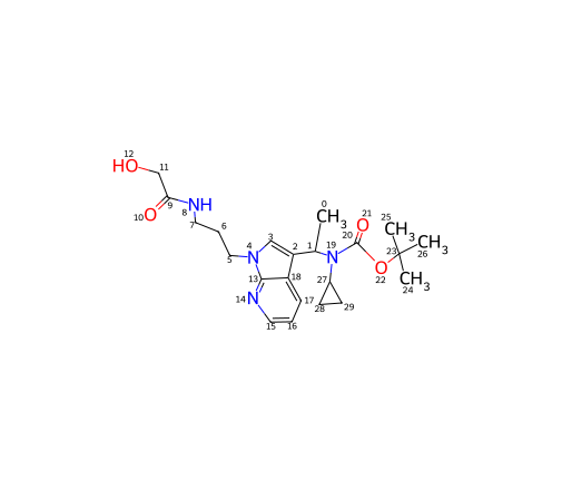 CC(c1cn(CCCNC(=O)CO)c2ncccc12)N(C(=O)OC(C)(C)C)C1CC1